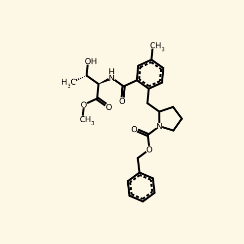 COC(=O)[C@H](NC(=O)c1cc(C)ccc1CC1CCCN1C(=O)OCc1ccccc1)[C@H](C)O